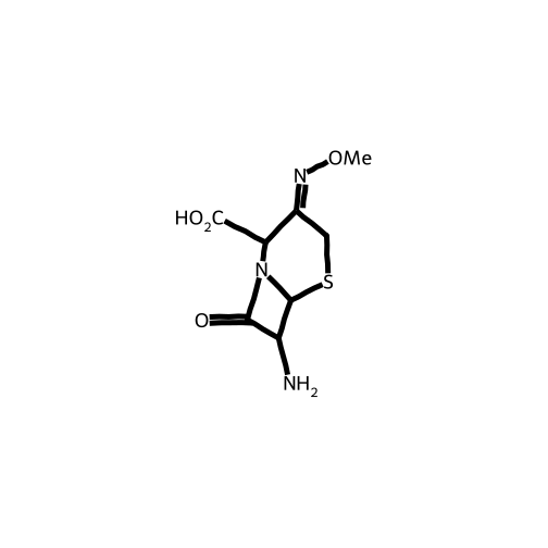 CON=C1CSC2C(N)C(=O)N2C1C(=O)O